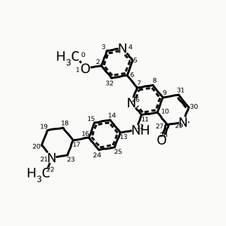 COc1cncc(-c2cc3c(c(Nc4ccc(C5CCCN(C)C5)cc4)n2)C(=O)[N]C=C3)c1